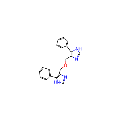 c1ccc(-c2[nH]cnc2COCc2nc[nH]c2-c2ccccc2)cc1